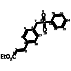 CCOC(=O)/C=C/c1ccc(CS(=O)(=O)c2ccccc2)cc1